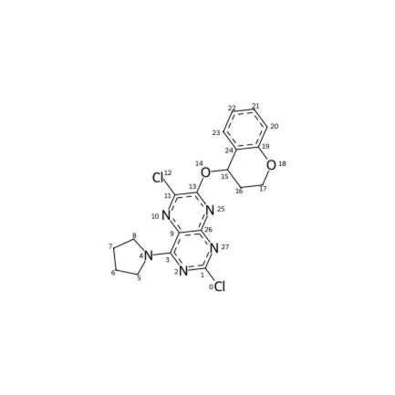 Clc1nc(N2CCCC2)c2nc(Cl)c(OC3CCOc4ccccc43)nc2n1